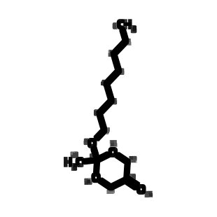 CCCCCCCCOC1(C)OCC(=O)CO1